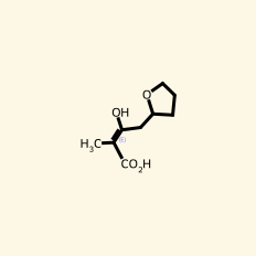 C/C(C(=O)O)=C(\O)CC1CCCO1